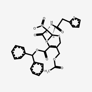 CC(=O)OCC1=C(C(=O)OC(c2ccccc2)c2ccccc2)N2C(=O)[C@@](NC(=O)Cc3cccs3)([N+](=O)[O-])[C@H]2SC1